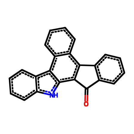 O=C1c2ccccc2-c2c1c1[nH]c3ccccc3c1c1ccccc21